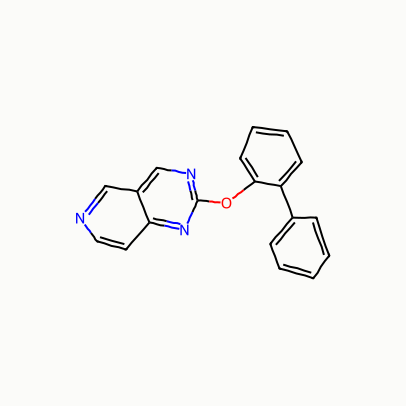 c1ccc(-c2ccccc2Oc2ncc3cnccc3n2)cc1